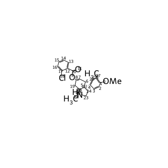 COc1ccc([C@@]23CC=C(OC(=O)c4ccccc4Cl)C[C@@H]2N(C)CC3)cc1C